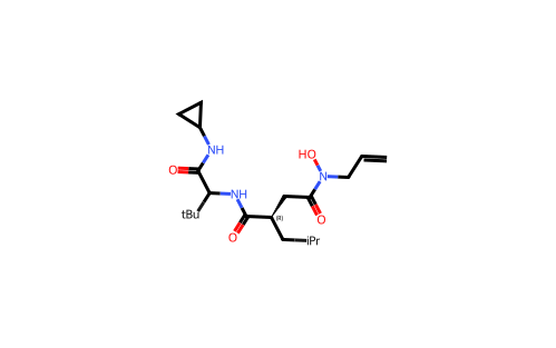 C=CCN(O)C(=O)C[C@@H](CC(C)C)C(=O)NC(C(=O)NC1CC1)C(C)(C)C